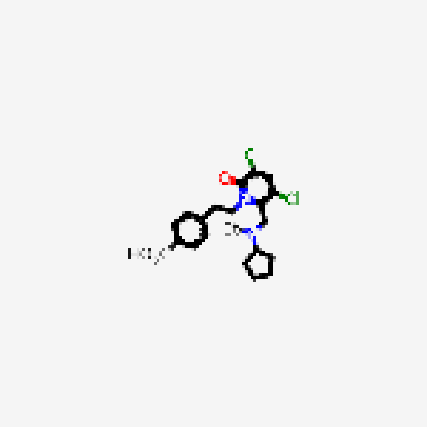 CCN(Cc1c(Cl)cc(Cl)c(=O)n1CCc1ccc(C(=O)O)cc1)C1CCCC1